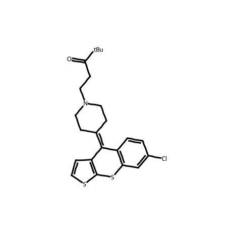 CC(C)(C)C(=O)CCN1CCC(=C2c3ccc(Cl)cc3Sc3sccc32)CC1